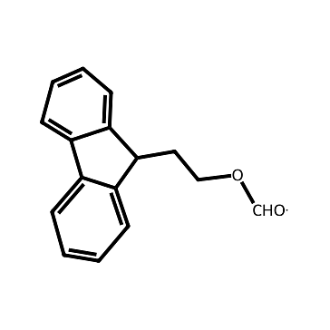 O=[C]OCCC1c2ccccc2-c2ccccc21